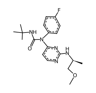 COC[C@H](C)Nc1nccc(N(C(=O)NC(C)(C)C)c2ccc(F)cc2)n1